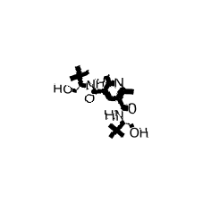 Cc1nc(C)c(C(=O)N[C@H](CO)C(C)(C)C)cc1C(=O)N[C@H](CO)C(C)(C)C